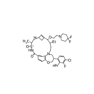 CCCc1c(C2COc3ccc4cc3N(CCC(CC)C(OCCN3CCC(F)(F)CC3)C3=C[C@@H](C3)CC(C)[S+]([O-])NC4=O)C2)ccc(Cl)c1F